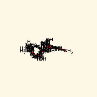 CCC(C)[C@H](NC(=O)[C@@H](NC(=O)[C@@H]1CCC(=O)NCCCCC(NC(=O)[C@H](Cc2ccc(O)cc2)NC(=O)C(Cc2c[nH]c3ccccc23)NC(=O)[C@H](Cc2c[nH]cn2)NC(=O)C(Cc2ccc(O)cc2)NC(C)(CC)C(=O)COCCOCCNC(C)(CC)C(=O)CCCCCN)C(=O)N[C@@H](Cc2ccc(O)cc2)C(=O)N[C@@H](C(C)O)C(=O)N2CCC[C@H]2C(=O)N[C@@H](CCCC(N)=O)C(=O)N1)C(C)C)C(N)=O